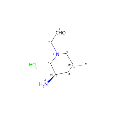 C[C@@H]1C[C@@H](N)CN(CC=O)C1.Cl